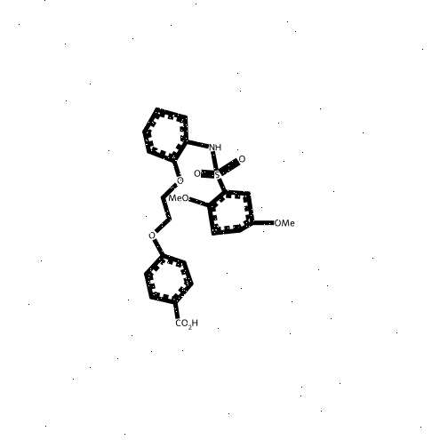 COc1ccc(OC)c(S(=O)(=O)Nc2ccccc2OCCOc2ccc(C(=O)O)cc2)c1